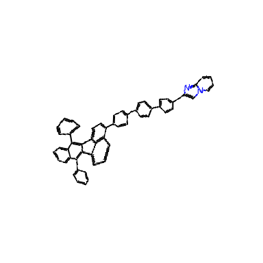 c1ccc(-c2c3c(c(-c4ccccc4)c4ccccc24)-c2ccc(-c4ccc(-c5ccc(-c6ccc(-c7cn8ccccc8n7)cc6)cc5)cc4)c4cccc-3c24)cc1